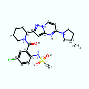 C[C@H]1CCN(c2ccn3nc([C@@H]4CCCCN4C(=O)c4cc(Cl)ccc4NS(C)(=O)=O)cc3n2)C1